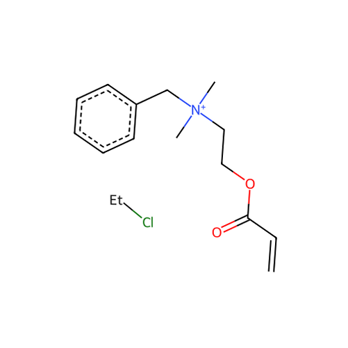 C=CC(=O)OCC[N+](C)(C)Cc1ccccc1.CCCl